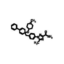 Cc1nc(C(N)=O)nn1-c1ccc(CC2(OC3CCN(C)CC3)C=CC(c3ccccc3)=CC2)cc1